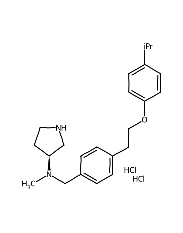 CC(C)c1ccc(OCCc2ccc(CN(C)[C@H]3CCNC3)cc2)cc1.Cl.Cl